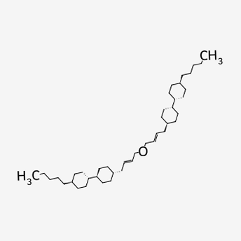 CCCCC[C@H]1CC[C@H]([C@H]2CC[C@H](CC=CCOCC=CC[C@H]3CC[C@H]([C@H]4CC[C@H](CCCCC)CC4)CC3)CC2)CC1